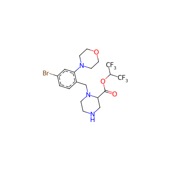 O=C(OC(C(F)(F)F)C(F)(F)F)C1CNCCN1Cc1ccc(Br)cc1N1CCOCC1